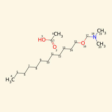 CC(=O)O.CCCCCCCCCCCCOCN(C)C